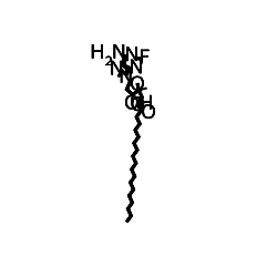 CCCCCCCCCCCCCCCCCC(=O)OC[C@@]1(C)O[C@@H](n2cnc3c(N)nc(F)nc32)C[C@@H]1O